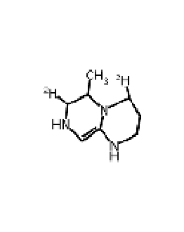 [2H]C1NC=C2NCCC([2H])N2C1C